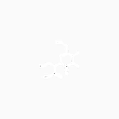 COC(=O)[C@H](CC(C)C)n1nc(CC=O)c(C)c(C)c1=O